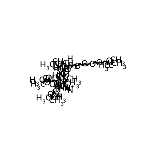 CC(C)[C@H](NC(=O)[C@H](CCC(=O)OC(C)(C)C)NC(=O)[C@H](CC(=O)OC(C)(C)C)NC(=O)CN=[N+]=[N-])C(=O)N[C@@H](CC(=O)OC(C)(C)C)C(=O)N[C@@H](C)C(=O)NCCOCCOCCOCCOCCC(=O)OC(C)(C)C